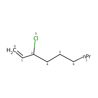 C=CC(Cl)CCCCCC